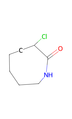 O=C1NCCCCCC1Cl